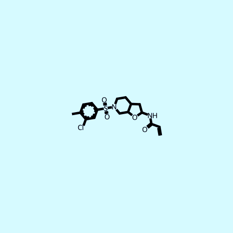 C=CC(=O)NC1CC2CCN(S(=O)(=O)c3ccc(C)c(Cl)c3)CC2O1